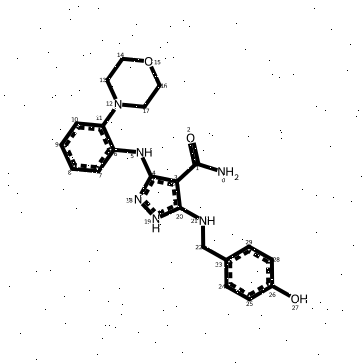 NC(=O)c1c(Nc2ccccc2N2CCOCC2)n[nH]c1NCc1ccc(O)cc1